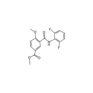 COC(=O)c1ccc(OC)c(C(=O)Nc2c(F)cccc2F)c1